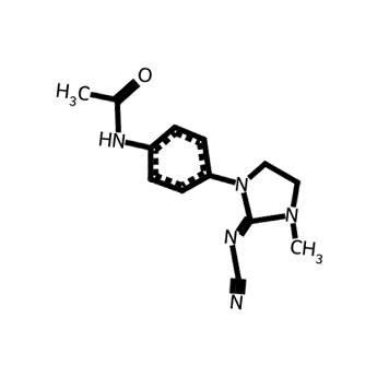 CC(=O)Nc1ccc(N2CCN(C)/C2=N\C#N)cc1